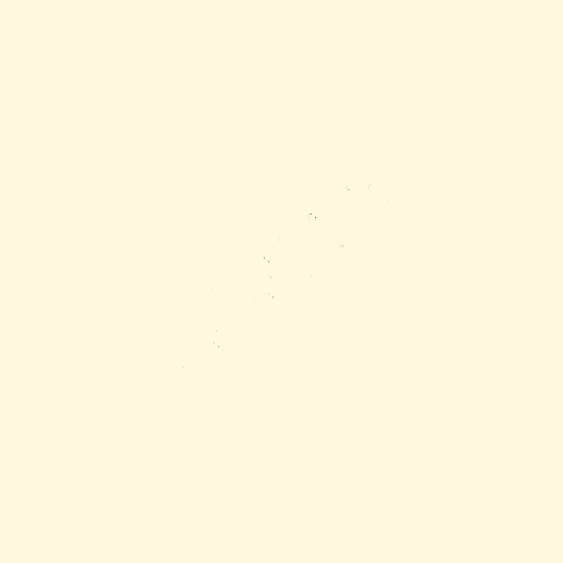 C[S+]([O-])Nc1cccc(Nc2ncc(-c3cc4ccccc4[nH]3)o2)c1